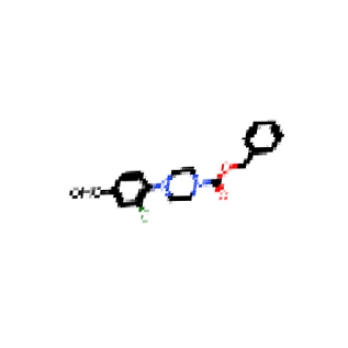 O=Cc1ccc(N2CCN(C(=O)OCc3ccccc3)CC2)c(Cl)c1